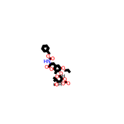 CCCOc1cc2cc(NC(=O)OCc3ccccc3)c(=O)oc2c(C)c1O[C@@H]1OC(C)(C)[C@H](OC)[C@H]2OC(=O)O[C@@H]12